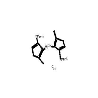 CCCCCC1=CCC(C)=[C]1[Hf+2][C]1=C(C)CC=C1CCCCC.[Cl-].[Cl-]